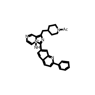 CC(=O)N1CCC(CC2=C3C=NC=C[N+]3(N)C(c3ccc4ccc(-c5ccccc5)nc4c3)=N2)CC1